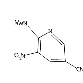 CNc1ncc(C#N)cc1[N+](=O)[O-]